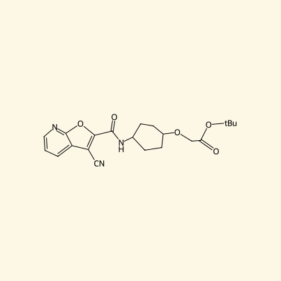 CC(C)(C)OC(=O)COC1CCC(NC(=O)c2oc3ncccc3c2C#N)CC1